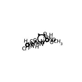 COC(=O)Nc1ccc2c(c1)NC(=O)CC1CC1CC[C@H](NC(=O)c1cnn(-c3cccc(Cl)c3F)c1C)c1nc-2c[nH]1